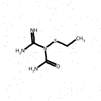 CCSN(C(=N)N)C(N)=O